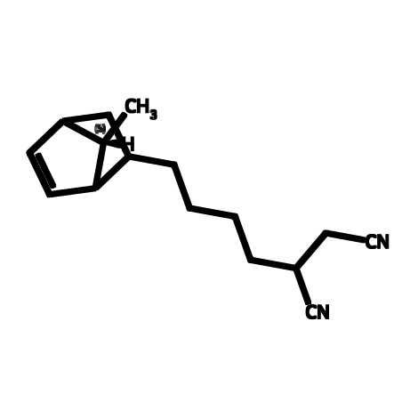 C[C@H]1C2C=CC1C(CCCCC(C#N)CC#N)C2